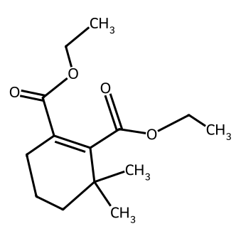 CCOC(=O)C1=C(C(=O)OCC)C(C)(C)CCC1